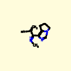 C=C(CCC)/C(=N/C)c1ncn2c1CCC2